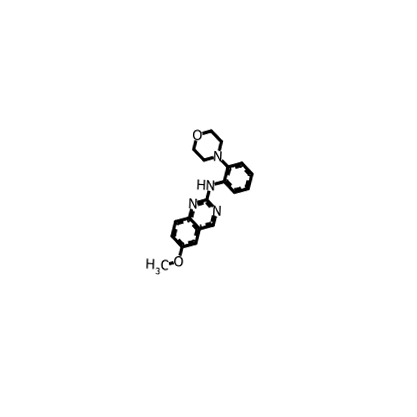 COc1ccc2nc(Nc3ccccc3N3CCOCC3)ncc2c1